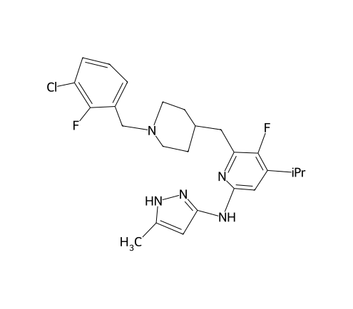 Cc1cc(Nc2cc(C(C)C)c(F)c(CC3CCN(Cc4cccc(Cl)c4F)CC3)n2)n[nH]1